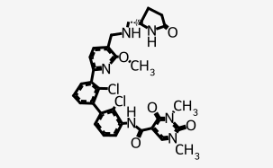 COc1nc(-c2cccc(-c3cccc(NC(=O)c4cn(C)c(=O)n(C)c4=O)c3Cl)c2Cl)ccc1CNC[C@@H]1CCC(=O)N1